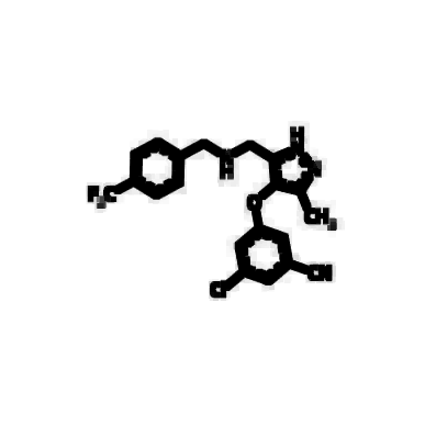 Cc1n[nH]c(CNCc2ccc(C(F)(F)F)cc2)c1Oc1cc(Cl)cc(C#N)c1